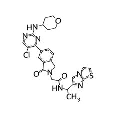 CC(NC(=O)CN1Cc2ccc(-c3nc(NC4CCOCC4)ncc3Cl)cc2C1=O)c1cn2ccsc2n1